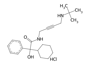 CC(C)(C)NCC#CCNC(=O)C(O)(c1ccccc1)C1CCCCC1.Cl